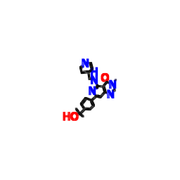 Cn1cnc2cc(-c3ccc(C(C)(C)O)cc3)nc(NCc3ccncc3)c2c1=O